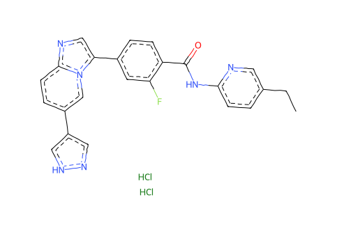 CCc1ccc(NC(=O)c2ccc(-c3cnc4ccc(-c5cn[nH]c5)cn34)cc2F)nc1.Cl.Cl